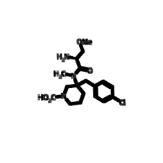 COC[C@H](N)C(=O)N(C)C1(Cc2ccc(Cl)cc2)CCCN(C(=O)O)C1